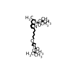 CC1Cc2ccc(CCCCCOC3CN(C(=O)OC(C)(C)C)C3)nc2N(C(=O)OC(C)(C)C)C1